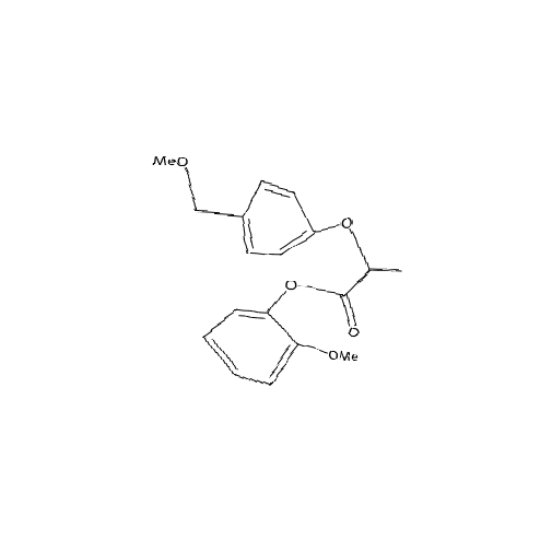 COCc1ccc(OC(C)C(=O)Oc2ccccc2OC)cc1